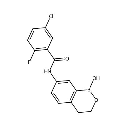 O=C(Nc1ccc2c(c1)B(O)OCC2)c1cc(Cl)ccc1F